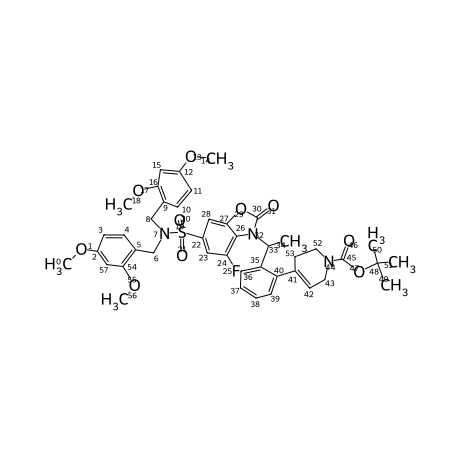 COc1ccc(CN(Cc2ccc(OC)cc2OC)S(=O)(=O)c2cc(F)c3c(c2)oc(=O)n3C(C)c2ccccc2C2=CCN(C(=O)OC(C)(C)C)CC2)c(OC)c1